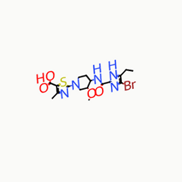 CCc1[nH]c(C(=O)NC2CCN(c3nc(C)c(C(=O)O)s3)CC2OC)nc1Br